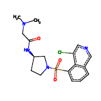 CN(C)CC(=O)N[C@@H]1CCN(S(=O)(=O)c2cccc3cncc(Cl)c23)C1